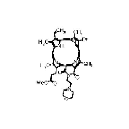 C=Cc1c(C)c2cc3nc(c4c5[nH]c(cc6nc(cc1[nH]2)C(C)=C6CC)c(C)c5C(=O)N(CCN1CCOCC1)C4=O)[C@@H](CCC(=O)OC)[C@@H]3C